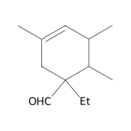 CCC1(C=O)CC(C)=CC(C)C1C